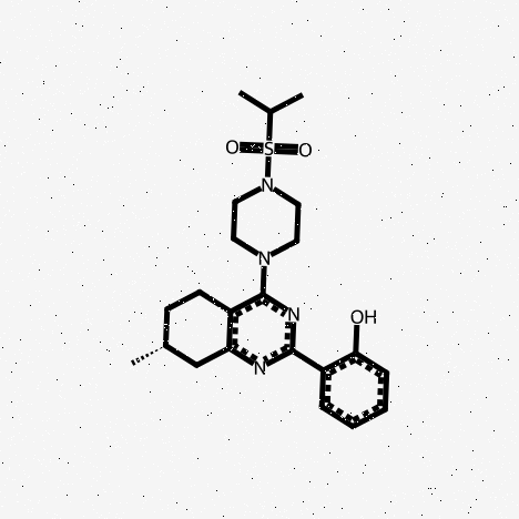 CC(C)S(=O)(=O)N1CCN(c2nc(-c3ccccc3O)nc3c2CC[C@@H](C)C3)CC1